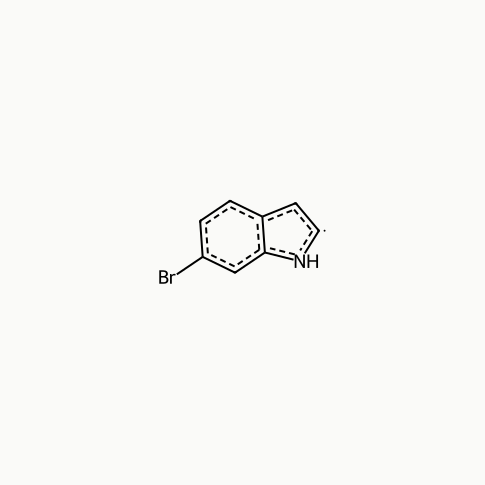 Brc1ccc2c[c][nH]c2c1